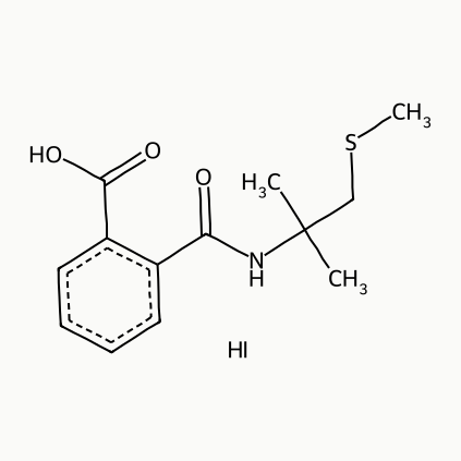 CSCC(C)(C)NC(=O)c1ccccc1C(=O)O.I